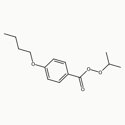 CCCCOc1ccc(C(=O)OO[C](C)C)cc1